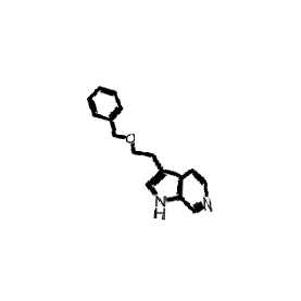 c1ccc(COCCc2c[nH]c3cnccc23)cc1